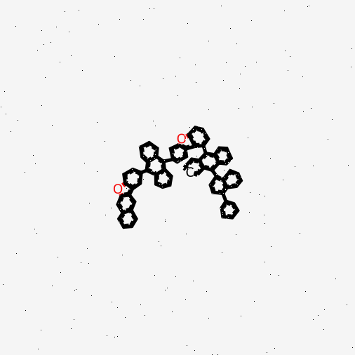 c1ccc(-c2ccc(-c3c4ccccc4c(-c4cccc5oc6cc(-c7c8ccccc8c(-c8ccc9oc%10cc%11ccccc%11cc%10c9c8)c8ccccc78)ccc6c45)c4ccccc34)c3ccccc23)cc1